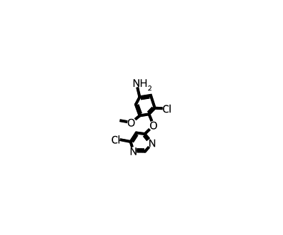 COc1cc(N)cc(Cl)c1Oc1cc(Cl)ncn1